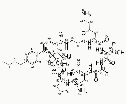 CCCCc1ccc(-c2ccc(C(=O)NCCC(=O)N[C@@H](CCCCN)C(=O)N[C@H](C(=O)N[C@@H](C)C(=O)N[C@@H](CC(N)=O)C(=O)N[C@@H](C)N3CCC[C@H]3B3OC4C[C@@H]5C[C@@H](C5(C)C)[C@]4(C)O3)[C@@H](C)O)cc2)cc1